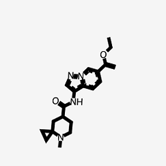 C=C(OCC)c1ccc2c(NC(=O)C3CCN(C)C4(CC4)C3)cnn2c1